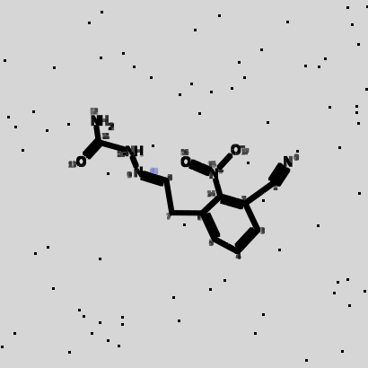 N#Cc1cccc(C/C=N/NC(N)=O)c1[N+](=O)[O-]